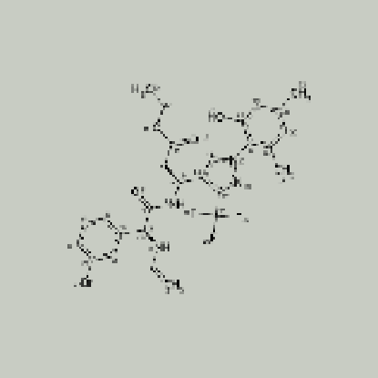 C=CN[C@H](C(=O)N[C@@H](CC(=O)OCC)c1cn(-c2c(C)cc(C)cc2O)nc1C(F)(F)F)c1cccc(Br)c1